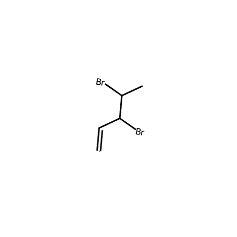 [CH]=CC(Br)C(C)Br